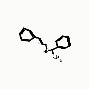 CC(NC/C=C/c1ccccc1)c1ccccc1